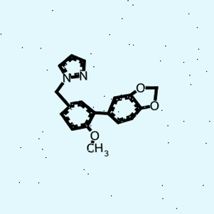 COc1ccc(Cn2cccn2)cc1-c1ccc2c(c1)OCO2